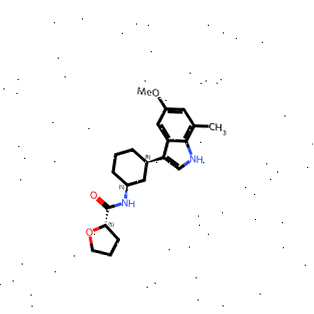 COc1cc(C)c2[nH]cc([C@@H]3CCC[C@H](NC(=O)[C@@H]4CCCO4)C3)c2c1